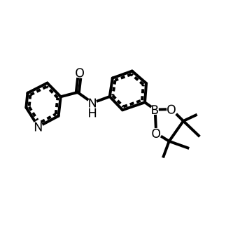 CC1(C)OB(c2cccc(NC(=O)c3cccnc3)c2)OC1(C)C